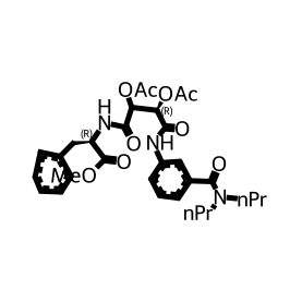 CCCN(CCC)C(=O)c1cccc(NC(=O)[C@H](OC(C)=O)C(OC(C)=O)C(=O)N[C@H](Cc2ccccc2)C(=O)OC)c1